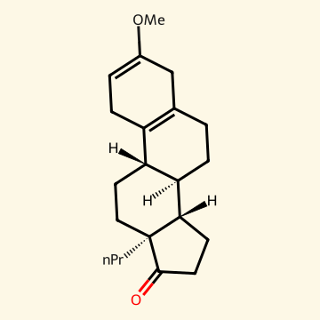 CCC[C@]12CC[C@@H]3C4=C(CC[C@H]3[C@@H]1CCC2=O)CC(OC)=CC4